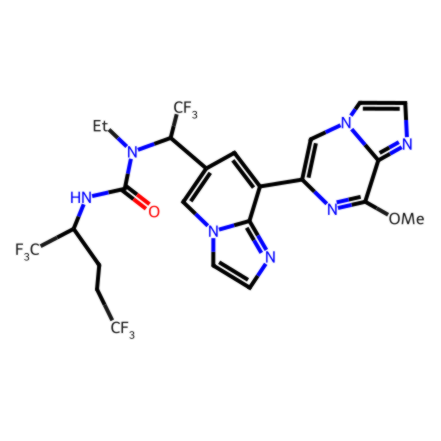 CCN(C(=O)NC(CCC(F)(F)F)C(F)(F)F)C(c1cc(-c2cn3ccnc3c(OC)n2)c2nccn2c1)C(F)(F)F